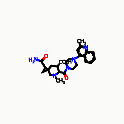 Cc1cc(N2CCN(C(=O)C3C(C(=O)O)CC4(CC4C(N)=O)CN3C)CC2)c2ccccc2n1